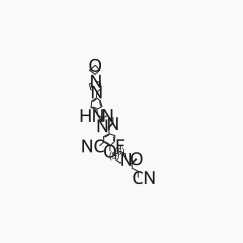 N#CCCC(=O)N1CC[C@H](Oc2ccc(-c3ncnc(Nc4ccc(N5CCN(C6COC6)CC5)cc4)n3)cc2C#N)[C@@H](F)C1